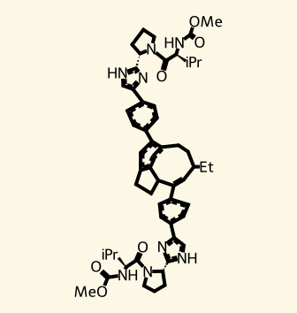 CCC1/C=C(/c2ccc(-c3c[nH]c([C@@H]4CCCN4C(=O)[C@@H](NC(=O)OC)C(C)C)n3)cc2)C2CCc3cc(-c4ccc(-c5c[nH]c([C@@H]6CCCN6C(=O)[C@@H](NC(=O)OC)C(C)C)n5)cc4)c(cc32)CC1